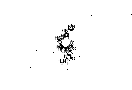 Nc1nc2c(ncn2[C@@H]2O[C@@H]3[C@@H]4OP(=O)(S)O[C@H]5C[C@H](Nc6ccncn6)C[C@@H]5CCOP(=O)(O)O[C@@H]2[C@]34O)c(=O)[nH]1